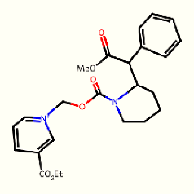 CCOC(=O)c1ccc[n+](COC(=O)N2CCCCC2C(C(=O)OC)c2ccccc2)c1